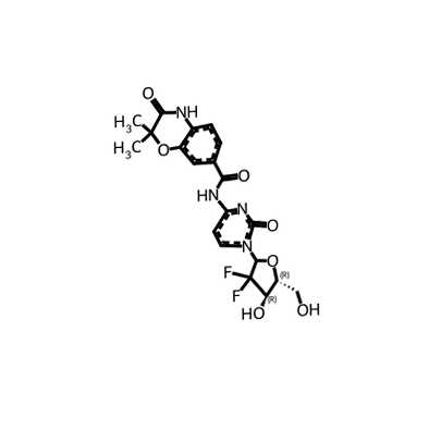 CC1(C)Oc2cc(C(=O)Nc3ccn(C4O[C@H](CO)[C@@H](O)C4(F)F)c(=O)n3)ccc2NC1=O